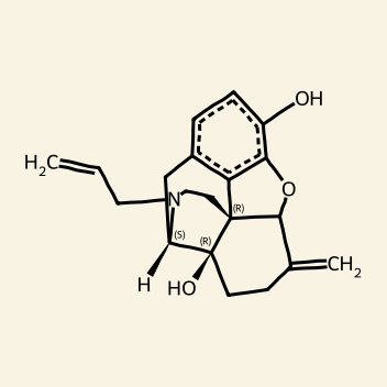 C=CCN1CC[C@@]23c4c5ccc(O)c4OC2C(=C)CC[C@]3(O)[C@@H]1C5